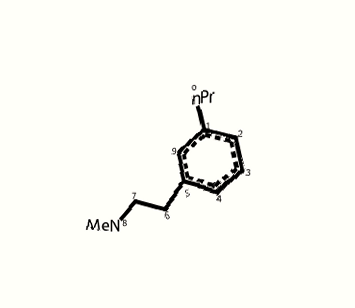 CCCc1cccc(CCNC)c1